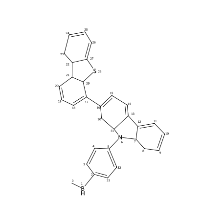 CBc1ccc(N2C3CC=CC=C3C3=CC=C(C4=CC=CC5C6CC=CC=C6SC45)CC32)cc1